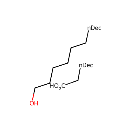 CCCCCCCCCCCC(=O)O.CCCCCCCCCCCCCCCCO